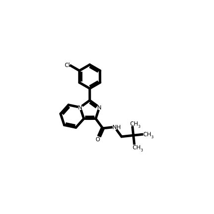 CC(C)(C)CNC(=O)c1nc(-c2cccc(Cl)c2)n2ccccc12